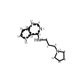 c1nc(NCCCN2CCCC2)c2sccc2n1